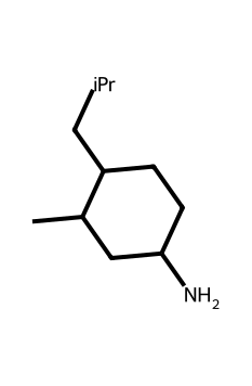 CC(C)CC1CCC(N)CC1C